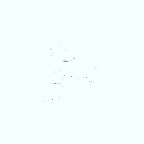 Cc1cc(-c2cccc3c(C)c[nH]c23)c(C#Cc2cccc(F)c2)c2c1NC(C)(C)C(O)[C@H]2C